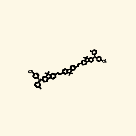 [C-]#[N+]c1ccc(N(c2cccc(C)c2)c2ccc3c(c2)C(C)(C)c2cc(/C=C/c4ccc5c(c4)C(C)(C)c4cc(/C=C/c6ccc7c(c6)C(C)(C)c6cc(N(c8ccc(C#N)cc8)c8cccc(C)c8)ccc6-7)ccc4-5)ccc2-3)cc1